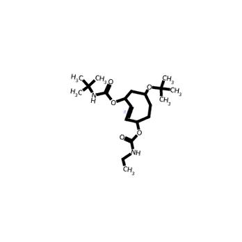 CCNC(=O)OC1/C=C/C(OC(=O)NC(C)(C)C)CC(OC(C)(C)C)CC1